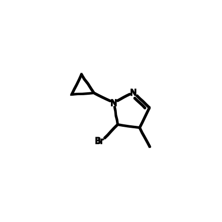 CC1C=NN(C2CC2)C1Br